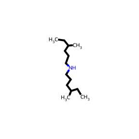 CCC(C)CCCNCCCC(C)CC